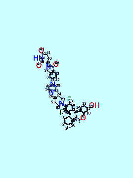 Cc1cccc(C2COc3cc(O)ccc3[C@H]2c2cc(F)c(N3CCC(CN4CCN(c5ccc6c(c5)CN(C5CCC(=O)NC5=O)C6=O)CC4)CC3)c(F)c2)c1